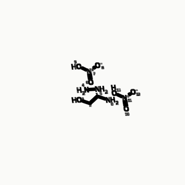 NCCO.NN.O=[N+]([O-])O.O=[N+]([O-])O